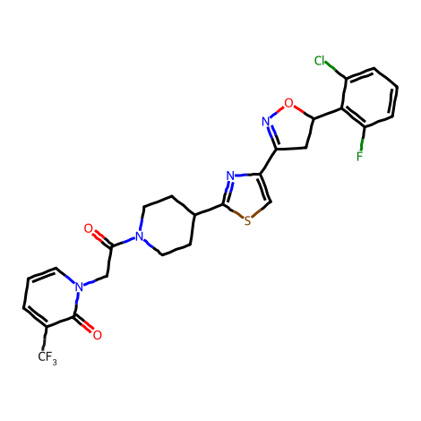 O=C(Cn1cccc(C(F)(F)F)c1=O)N1CCC(c2nc(C3=NOC(c4c(F)cccc4Cl)C3)cs2)CC1